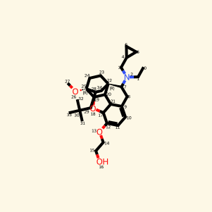 CCN(CC1CC1)C1CC2=CC=C(OCCO)C3OC4C(C23)[C@]12CC[C@@]4(OC)C(CC(C)(C)C)C2